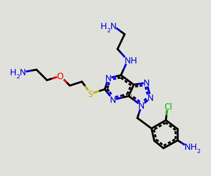 NCCNc1nc(SCCOCCN)nc2c1nnn2Cc1ccc(N)cc1Cl